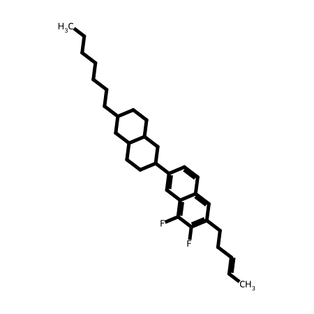 C/C=C/CCc1cc2ccc(C3CCC4CC(CCCCCCC)CCC4C3)cc2c(F)c1F